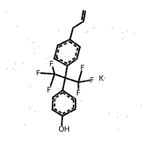 C=CCc1ccc(C(c2ccc(O)cc2)(C(F)(F)F)C(F)(F)F)cc1.[K]